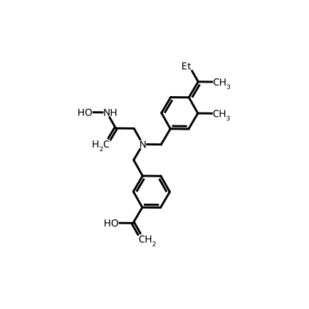 C=C(CN(CC1=CC(C)/C(=C(\C)CC)C=C1)Cc1cccc(C(=C)O)c1)NO